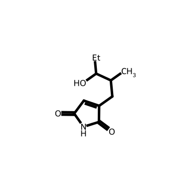 CCC(O)C(C)CC1=CC(=O)NC1=O